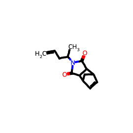 C=CCC(C)N1C(=O)C2C3C=CC(C3)C2C1=O